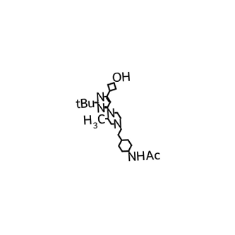 CC(=O)NC1CCC(CCN2CCN(c3cc(C4CC(O)C4)nc(C(C)(C)C)n3)C(C)C2)CC1